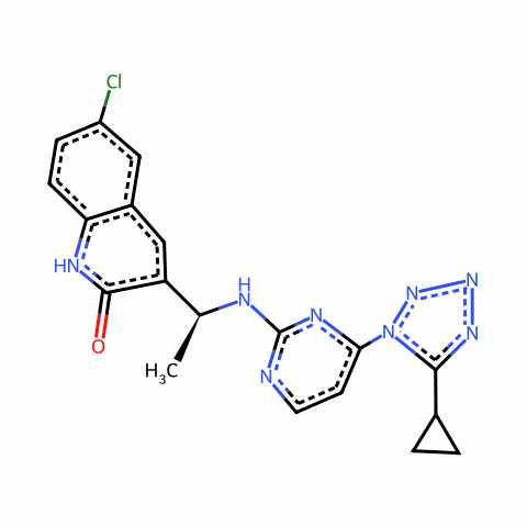 C[C@H](Nc1nccc(-n2nnnc2C2CC2)n1)c1cc2cc(Cl)ccc2[nH]c1=O